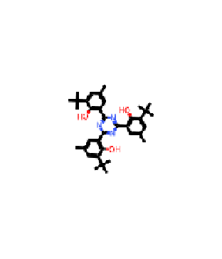 Cc1cc(-c2nc(-c3cc(C)cc(C(C)(C)C)c3O)nc(-c3cc(C)cc(C(C)(C)C)c3O)n2)c(O)c(C(C)(C)C)c1